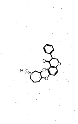 CC1CN(C)CCCC1Oc1ccc2c(c1)C(=O)C(c1ccccc1)CO2